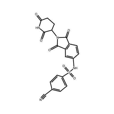 N#Cc1ccc(S(=O)(=O)Nc2ccc3c(c2)C(=O)N(C2CCC(=O)NC2=O)C3=O)cc1